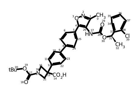 Cc1noc(-c2ccc(-c3ccc(C4(C(=O)O)CN(C(=O)OC(C)(C)C)C4)cc3)cc2)c1NC(=O)O[C@H](C)c1ccccc1Cl